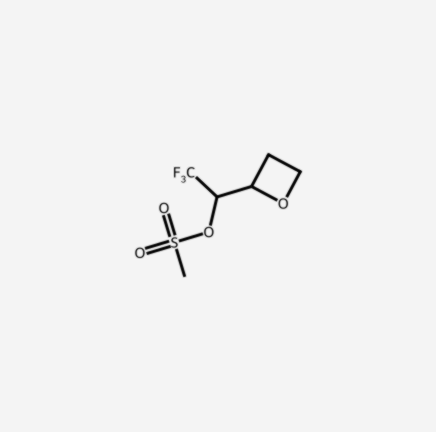 CS(=O)(=O)OC(C1CCO1)C(F)(F)F